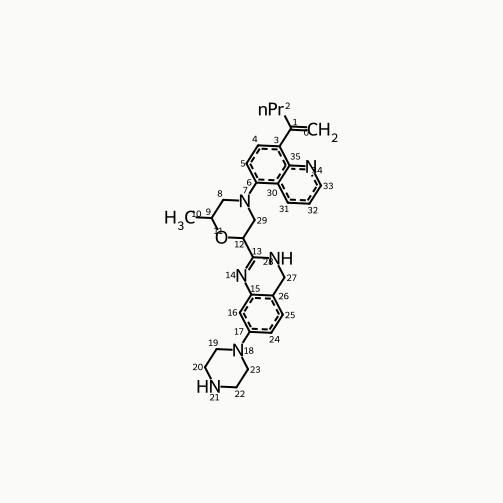 C=C(CCC)c1ccc(N2CC(C)OC(C3=Nc4cc(N5CCNCC5)ccc4CN3)C2)c2cccnc12